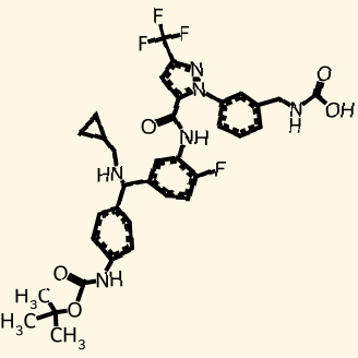 CC(C)(C)OC(=O)Nc1ccc(C(NCC2CC2)c2ccc(F)c(NC(=O)c3cc(C(F)(F)F)nn3-c3cccc(CNC(=O)O)c3)c2)cc1